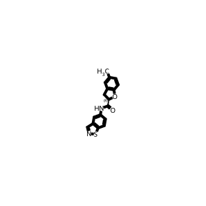 Cc1ccc2c(c1)C[C@H](C(=O)Nc1ccc3sncc3c1)O2